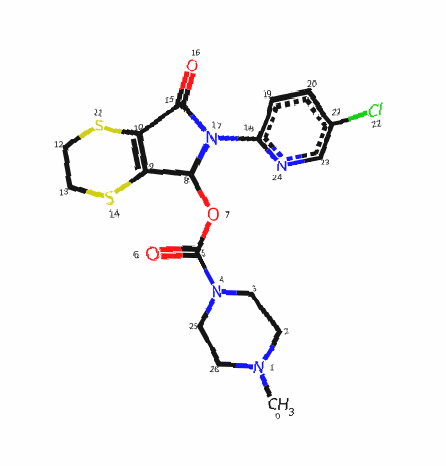 CN1CCN(C(=O)OC2C3=C(SCCS3)C(=O)N2c2ccc(Cl)cn2)CC1